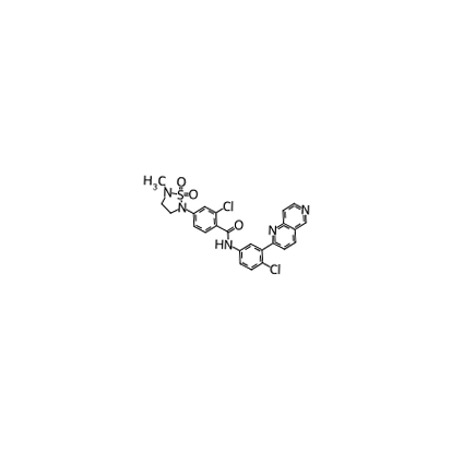 CN1CCN(c2ccc(C(=O)Nc3ccc(Cl)c(-c4ccc5cnccc5n4)c3)c(Cl)c2)S1(=O)=O